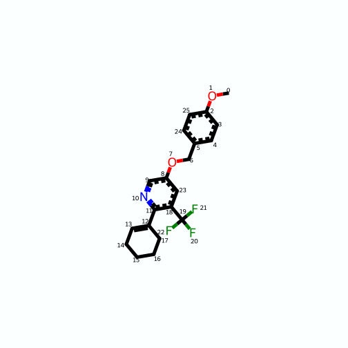 COc1ccc(COc2cnc(C3=CCCCC3)c(C(F)(F)F)c2)cc1